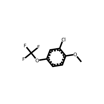 COc1ccc(OC(F)(F)F)cc1Cl